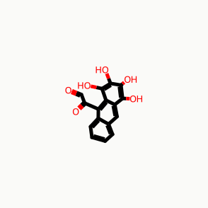 O=CC(=O)c1c2ccccc2cc2c(O)c(O)c(O)c(O)c12